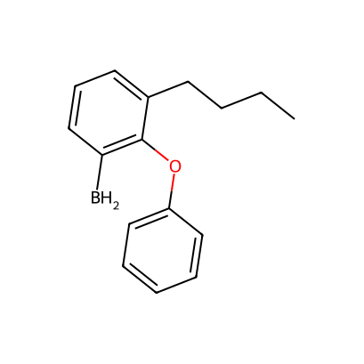 Bc1cccc(CCCC)c1Oc1ccccc1